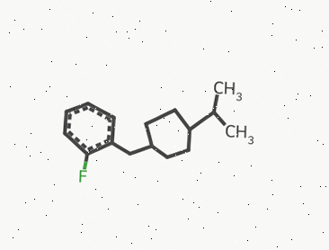 CC(C)C1CCC(Cc2ccccc2F)CC1